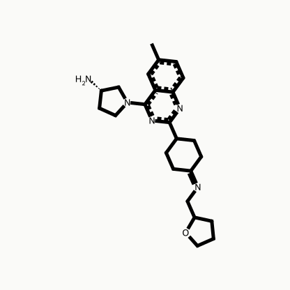 Cc1ccc2nc(C3CCC(=NCC4CCCO4)CC3)nc(N3CC[C@H](N)C3)c2c1